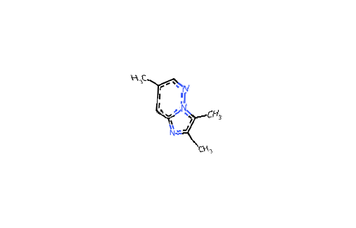 Cc1cnn2c(C)c(C)nc2c1